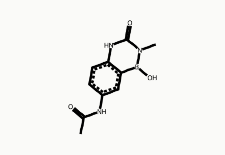 CC(=O)Nc1ccc2c(c1)B(O)N(C)C(=O)N2